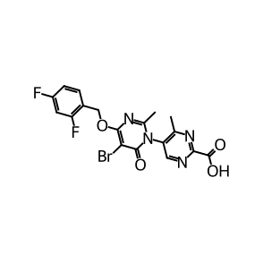 Cc1nc(C(=O)O)ncc1-n1c(C)nc(OCc2ccc(F)cc2F)c(Br)c1=O